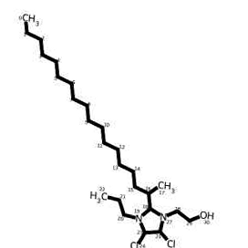 CCCCCCCCCCCCCCCCC(C)C1N(CCC)C(Cl)C(Cl)N1CCO